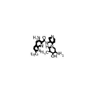 CCOc1ccc2cc(N)c(C(=O)Nc3cnccc3N3CC(C)C(O)C(N)C3)nc2n1